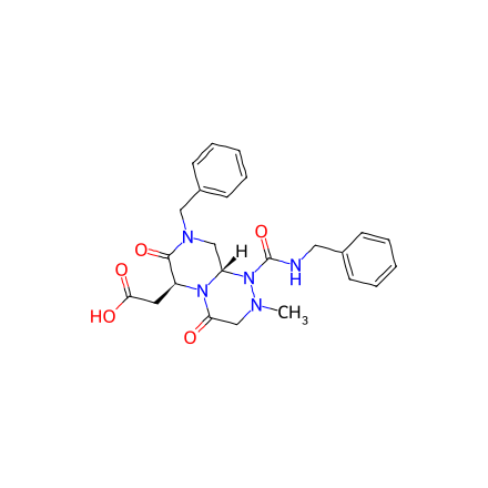 CN1CC(=O)N2[C@@H](CC(=O)O)C(=O)N(Cc3ccccc3)C[C@@H]2N1C(=O)NCc1ccccc1